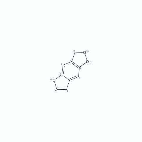 c1cc2cc3c(cc2o1)COO3